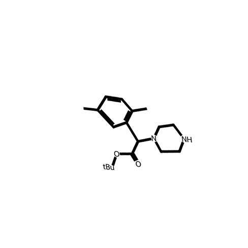 Cc1ccc(C)c(C(C(=O)OC(C)(C)C)N2CCNCC2)c1